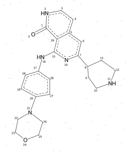 O=c1[nH]ccc2cc(C3CCNCC3)nc(Nc3ccc(N4CCOCC4)cc3)c12